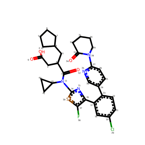 O=C(O)CC(CC1CCCC1)C(=O)N(c1nc(-c2cc(Cl)ccc2-c2ccc(N3CCCCC3=O)nc2)c(F)s1)C1CC1